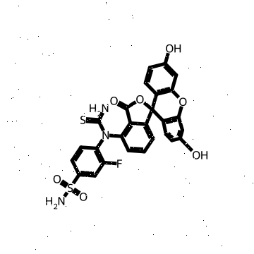 NC(=S)N(c1ccc(S(N)(=O)=O)cc1F)c1cccc2c1C(=O)OC21c2ccc(O)cc2Oc2cc(O)ccc21